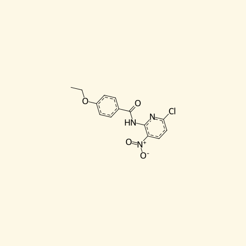 CCOc1ccc(C(=O)Nc2nc(Cl)ccc2[N+](=O)[O-])cc1